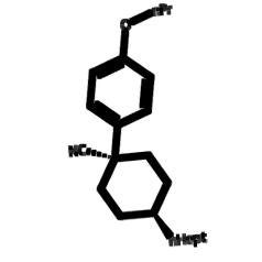 CCCCCCC[C@H]1CC[C@@](C#N)(c2ccc(OCCC)cc2)CC1